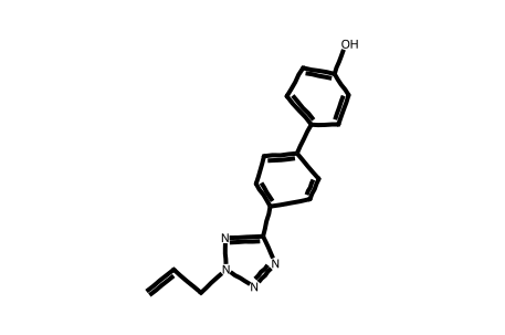 C=CCn1nnc(-c2ccc(-c3ccc(O)cc3)cc2)n1